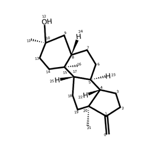 C=C1CC[C@H]2[C@@H]3CC[C@H]4C[C@](C)(O)CC[C@]4(C)[C@H]3CC[C@]12C